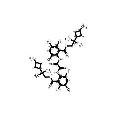 CC1CC(C(C)(C)COC(=O)c2c(Cl)c(Cl)cc(Cl)c2OC(=O)C(=O)Oc2c(Cl)cc(Cl)c(Cl)c2C(=O)OCC(C)(C)C2CC(C)C2)C1